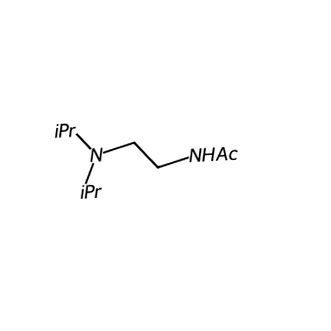 CC(=O)NCCN(C(C)C)C(C)C